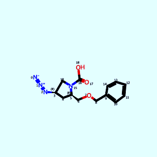 [N-]=[N+]=N[C@@H]1C[C@H](COCc2ccccc2)N(C(=O)O)C1